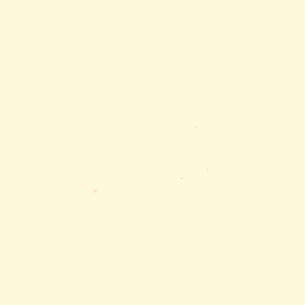 CC1CC(OC(=O)C(C)O)CC(C)(C)C1